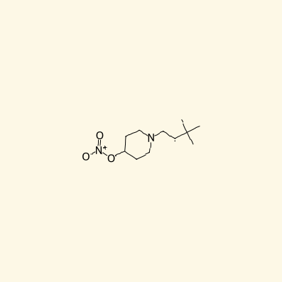 CC(C)(C)[CH]CN1CCC(O[N+](=O)[O-])CC1